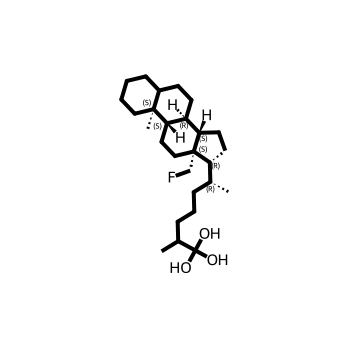 CC(CCC[C@@H](C)[C@H]1CC[C@H]2[C@@H]3CCC4CCCC[C@]4(C)[C@H]3CC[C@]12CF)C(O)(O)O